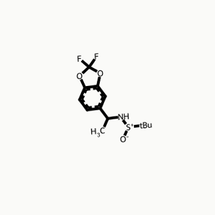 CC(N[S+]([O-])C(C)(C)C)c1ccc2c(c1)OC(F)(F)O2